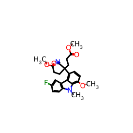 COC(=O)CCC(C#N)(CCC(=O)OC)c1ccc(OC)c2c1c1cc(F)ccc1n2C